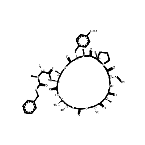 CC[C@H](C)[C@H]1NC(=O)[C@@H](NC(=O)[C@@H](C)N(C)C(=O)OCc2ccccc2)[C@@H](C)OC(=O)[C@H](Cc2ccc(OC)cc2)N(C)C(=O)[C@@H]2CCCN2C(=O)[C@H](CC(C)C)NC(=O)[C@@H](C)C(=O)[C@H](C(C)C)OC(=O)C[C@@H]1O